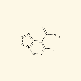 NC(=O)c1c(Cl)ccn2ccnc12